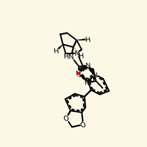 Cc1cc(N2C[C@H]3CC[C@@H](C2)[C@@H]3Nc2nc3c(-c4ccc5c(c4)OCO5)cccn3n2)sn1